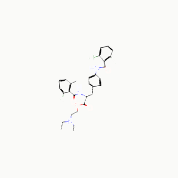 CCN(CC)CCOC(=O)C(Cc1ccc(NC(=O)c2c(Cl)cccc2Cl)cc1)NC(=O)c1c(C)cccc1Cl